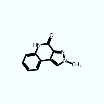 Cn1cc2c(n1)c(=O)[nH]c1ccccc12